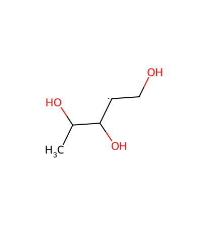 CC(O)C(O)[CH]CO